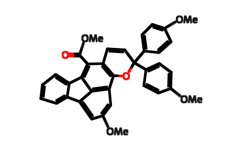 COC(=O)c1c2c(c3cc(OC)cc4c3c1-c1ccccc1-4)OC(c1ccc(OC)cc1)(c1ccc(OC)cc1)C=C2